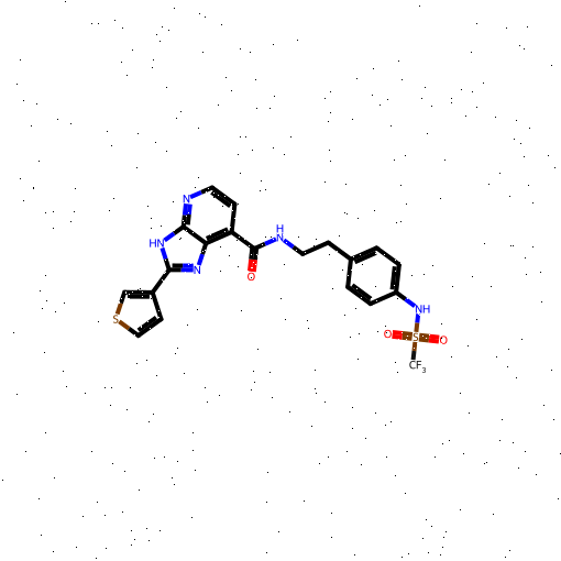 O=C(NCCc1ccc(NS(=O)(=O)C(F)(F)F)cc1)c1ccnc2[nH]c(-c3ccsc3)nc12